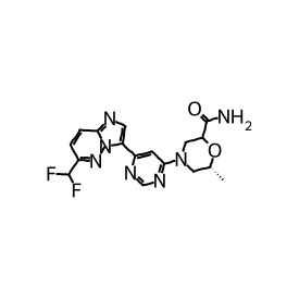 C[C@@H]1CN(c2cc(-c3cnc4ccc(C(F)F)nn34)ncn2)CC(C(N)=O)O1